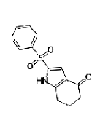 O=C1CCCc2[nH]c(S(=O)(=O)c3ccccc3)cc21